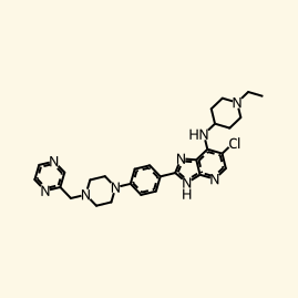 CCN1CCC(Nc2c(Cl)cnc3[nH]c(-c4ccc(N5CCN(Cc6cnccn6)CC5)cc4)nc23)CC1